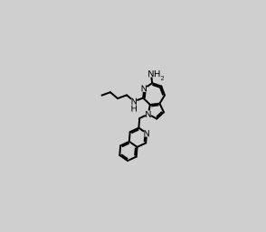 CCCCNC1=NC(N)=C=Cc2ccn(Cc3cc4ccccc4cn3)c21